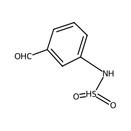 O=Cc1cccc(N[SH](=O)=O)c1